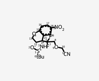 CC(C)(C)[S@@+]([O-])N[C@]1(C(F)(F)COCC#N)CCOc2ccc([N+](=O)[O-])cc21